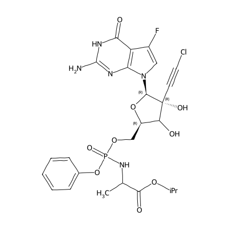 CC(C)OC(=O)C(C)NP(=O)(OC[C@H]1O[C@@H](n2cc(F)c3c(=O)[nH]c(N)nc32)[C@@](O)(C#CCl)C1O)Oc1ccccc1